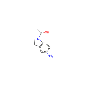 CB(O)N1CCc2cc(N)ccc21